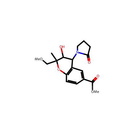 COCC1(C)Oc2ccc(C(=O)OC)cc2C(N2CCCC2=O)C1O